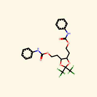 O=C(Nc1ccccc1)OCCC1OC(C(F)(F)F)(C(F)(F)F)OC1CCOC(=O)Nc1ccccc1